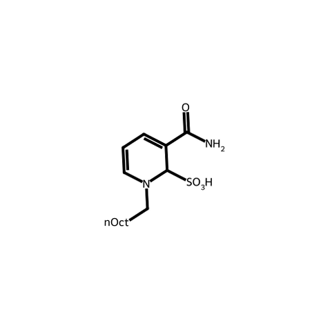 CCCCCCCCCN1C=CC=C(C(N)=O)C1S(=O)(=O)O